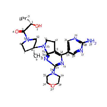 CC(C)[C@H](O)C(=O)N1CC[C@](C)(N2CCc3c(-c4cnc(N)nc4)nc(N4CCOCC4)nc32)C1